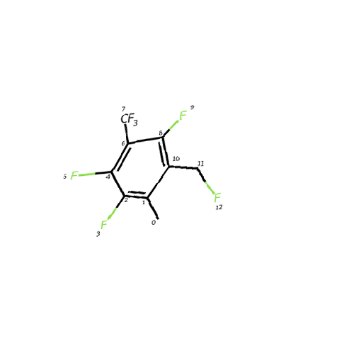 Cc1c(F)c(F)c(C(F)(F)F)c(F)c1CF